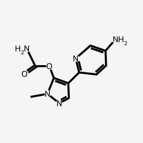 Cn1ncc(-c2ccc(N)cn2)c1OC(N)=O